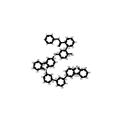 C=C(Cc1ccccc1)c1ccccc1-c1cc(Sc2ccc3c(c2)c2ccccc2n3-c2cccc(-c3cccc(-c4ccc5sc6ccccc6c5c4)c3)c2)ccc1C